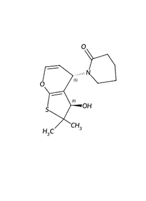 CC1(C)SC2=C([C@H]1O)[C@@H](N1CCCCC1=O)C=CO2